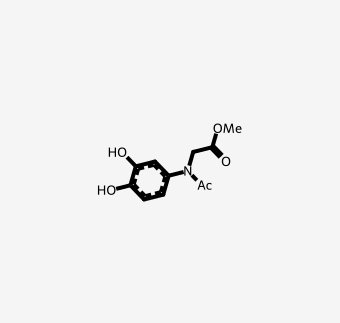 COC(=O)CN(C(C)=O)c1ccc(O)c(O)c1